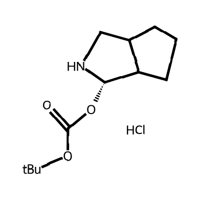 CC(C)(C)OC(=O)O[C@@H]1NCC2CCCC21.Cl